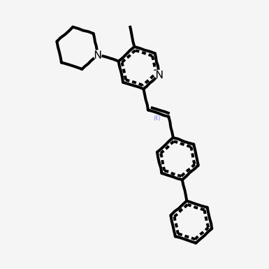 Cc1cnc(/C=C/c2ccc(-c3ccccc3)cc2)cc1N1CCCCC1